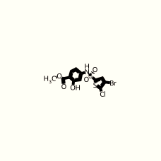 COC(=O)c1ccc(NS(=O)(=O)c2cc(Br)c(Cl)s2)cc1O